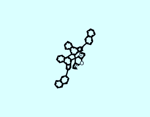 c1ccc2c(c1)Oc1ccccc1C21c2c(c3ccccc3c3cc(-c4ccc5ccccc5c4)ccc23)-c2c1c1ccc(-c3ccc4ccccc4c3)cc1c1ccccc21